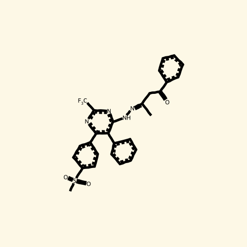 C/C(CC(=O)c1ccccc1)=N\Nc1nc(C(F)(F)F)nc(-c2ccc(S(C)(=O)=O)cc2)c1-c1ccccc1